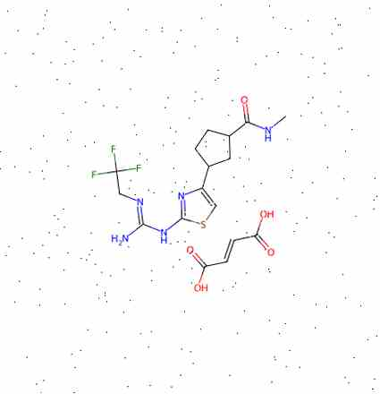 CNC(=O)C1CCC(c2csc(NC(N)=NCC(F)(F)F)n2)C1.O=C(O)C=CC(=O)O